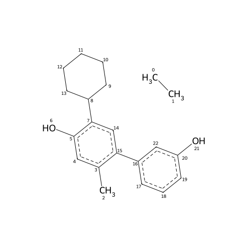 CC.Cc1cc(O)c(C2CCCCC2)cc1-c1cccc(O)c1